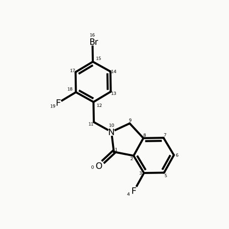 O=C1c2c(F)cccc2CN1Cc1ccc(Br)cc1F